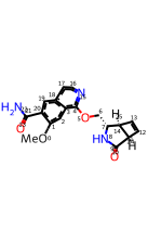 COc1cc2c(OC[C@H]3NC(=O)[C@@H]4C=C[C@H]34)nccc2cc1C(N)=O